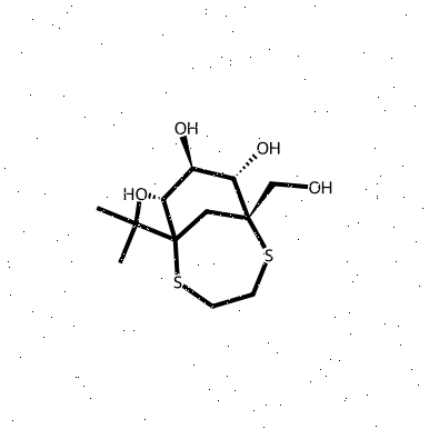 CC(C)(C)C12C[C@@](CO)(SCCS1)[C@@H](O)[C@H](O)[C@H]2O